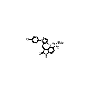 CNS(=O)(=O)c1ccc2c(c1)C(=Cc1c(Br)cnn1-c1ccc(Cl)cc1)C(=O)N2